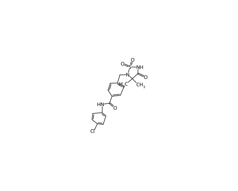 CC1(C)C(=O)NS(=O)(=O)N1Cc1ccc(C(=O)Nc2ccc(Cl)cc2)cc1